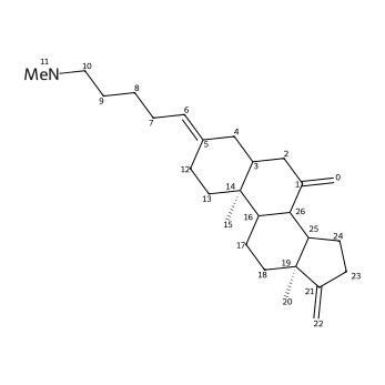 C=C1CC2C/C(=C/CCCCNC)CC[C@]2(C)C2CC[C@]3(C)C(=C)CCC3C12